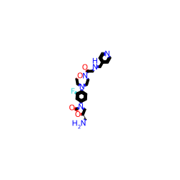 NC[C@H]1CN(c2ccc(N3CCON(C(=O)CNCc4ccncc4)CC3)c(F)c2)C(=O)O1